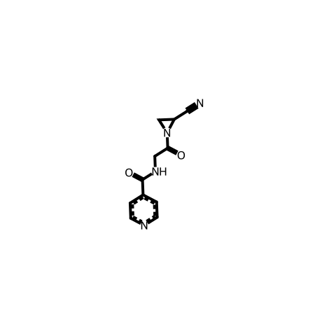 N#CC1CN1C(=O)CNC(=O)c1ccncc1